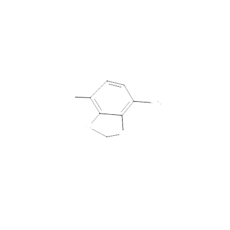 N#Cc1ccc(Br)c2c1OCO2